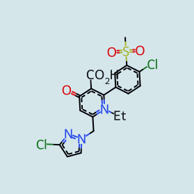 CCn1c(Cn2ccc(Cl)n2)cc(=O)c(C(=O)O)c1-c1ccc(Cl)c(S(C)(=O)=O)c1